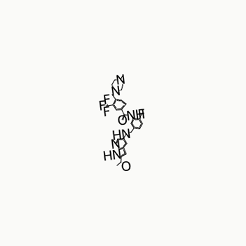 CC(=O)c1cc2cc(NCc3ccc(F)c(NC(=O)c4ccc(CN5CCN(C)CC5)c(C(F)(F)F)c4)c3)cnc2[nH]1